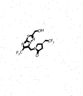 O=C1C[C@H](CC(F)(F)F)CN1Cc1c(C(F)(F)F)nc2sc(CO)nn12